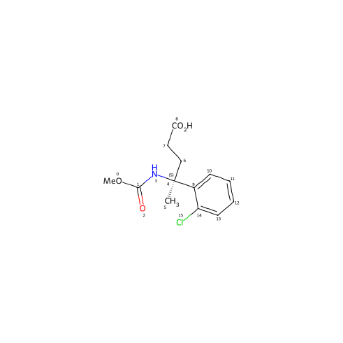 COC(=O)N[C@@](C)(CCC(=O)O)c1ccccc1Cl